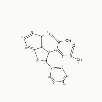 O=C(O)C=C(C(=O)O)C1c2ccccc2CN1c1ccncc1